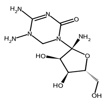 NC1=NC(=O)N([C@]2(N)O[C@H](CO)[C@@H](O)[C@H]2O)CN1N